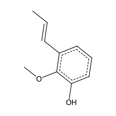 CC=Cc1cccc(O)c1OC